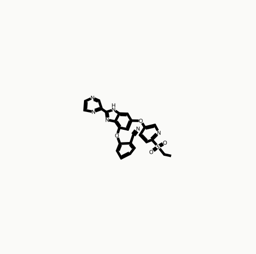 CCS(=O)(=O)c1ccc(Oc2cc(Oc3ccccc3C#N)c3nc(-c4cnccn4)[nH]c3c2)cn1